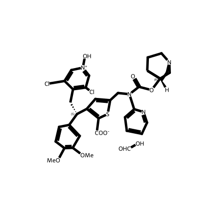 COc1ccc([C@H](Cc2c(Cl)c[n+](O)cc2Cl)c2cc(CN(C(=O)O[C@H]3CN4CCC3CC4)c3ccccn3)sc2C(=O)[O-])cc1OC.O=CO